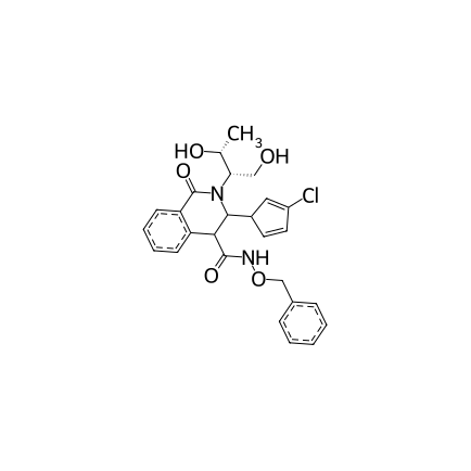 C[C@@H](O)[C@H](CO)N1C(=O)c2ccccc2C(C(=O)NOCc2ccccc2)C1C1C=CC(Cl)=C1